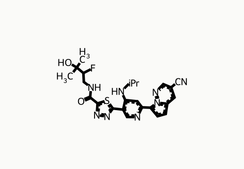 CC(C)Nc1cc(-c2ccc3cc(C#N)cnn23)ncc1-c1nnc(C(=O)NCC(F)C(C)(C)O)s1